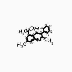 Cc1cc(C(C)O)c2cc(-c3ccccc3)c(C)nc2c1